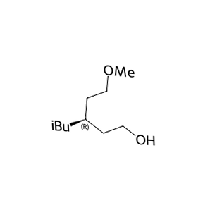 CCC(C)[C@H](CCO)CCOC